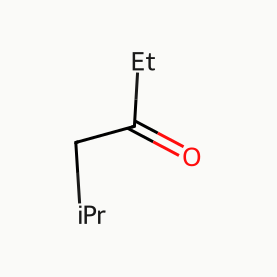 [CH]CC(=O)CC(C)C